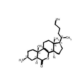 CC(C)CCC[C@@H](C)[C@H]1CC[C@H]2C3=C(CC[C@]12C)[C@@]1(C)CC[C@H](N)C[C@@H]1C(=O)O3